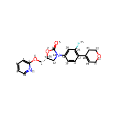 O=C1O[C@@H](COc2ccccn2)CN1c1ccc(C2=CCOCC2)c(F)c1